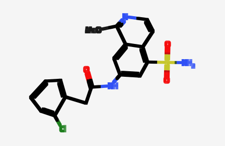 COc1nccc2c(S(N)(=O)=O)cc(NC(=O)Cc3ccccc3Cl)cc12